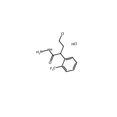 Cl.NNC(=O)C(CCCl)c1ccccc1C(F)(F)F